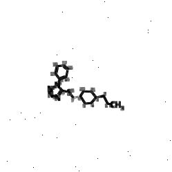 CCC[C@H]1CC[C@H](CSc2nnnn2-c2ccccc2)CC1